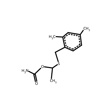 Cc1ccc(CSC(C)OC(N)=O)c(C)c1